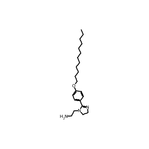 CCCCCCCCCCCCOc1ccc(C2=NCCN2CCN)cc1